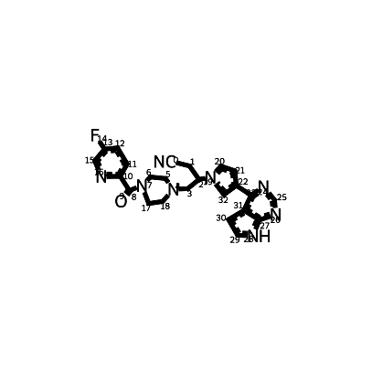 N#CCC(CN1CCN(C(=O)c2ccc(F)cn2)CC1)n1ccc(-c2ncnc3[nH]ccc23)c1